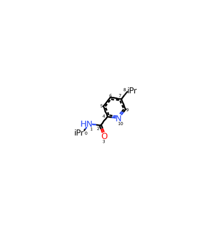 CC(C)NC(=O)c1ccc(C(C)C)cn1